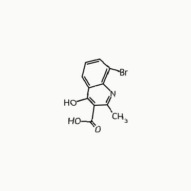 Cc1nc2c(Br)cccc2c(O)c1C(=O)O